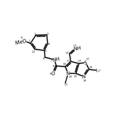 COc1cccc(CNC(=O)c2c(C=N)c3sc(I)nc3n2C)c1